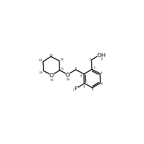 OCc1cccc(F)c1COC1CCCCO1